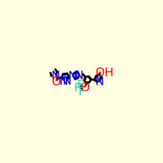 CCN(CC)C(=O)c1ccc(N2CCN(Cc3cc(OC(F)(F)F)cc(-c4cncc(O)c4)c3)CC2)nn1